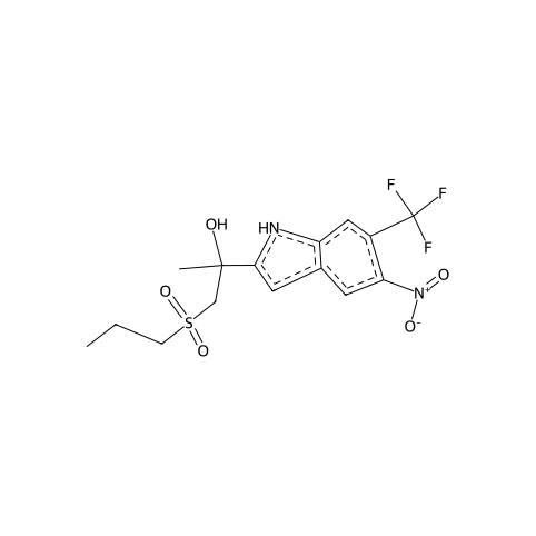 CCCS(=O)(=O)CC(C)(O)c1cc2cc([N+](=O)[O-])c(C(F)(F)F)cc2[nH]1